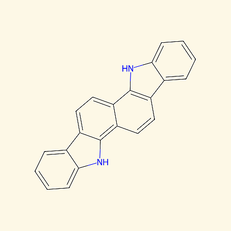 c1ccc2c(c1)[nH]c1c2ccc2c1ccc1c3ccccc3[nH]c12